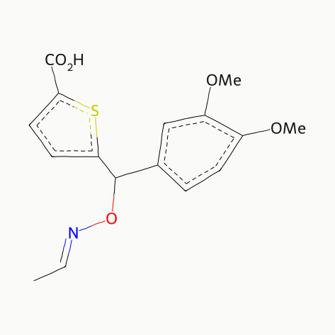 CC=NOC(c1ccc(OC)c(OC)c1)c1ccc(C(=O)O)s1